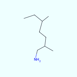 CCC(C)CCC(C)CN